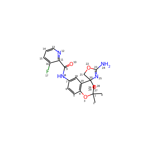 CC1(C)Oc2ccc(NC(=O)c3ncccc3F)cc2C2(COC(N)=N2)C12COC2